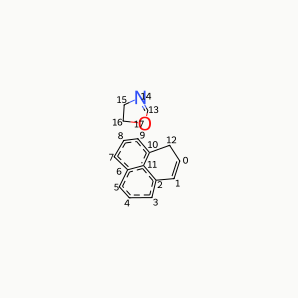 C1=Cc2cccc3cccc(c23)C1.C1=NCCO1